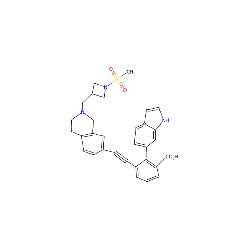 CS(=O)(=O)N1CC(CN2CCc3ccc(C#Cc4cccc(C(=O)O)c4-c4ccc5cc[nH]c5c4)cc3C2)C1